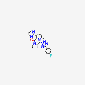 CCN(C(=O)c1nc(C)ccc1-c1ncccn1)[C@@H](C)Cn1nnc(-c2ccc(F)cc2)n1